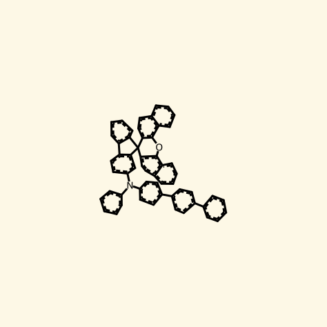 c1ccc(-c2ccc(-c3ccc(N(c4ccccc4)c4ccc5c(c4)C4(c6ccccc6-5)c5ccc6ccccc6c5Oc5c4ccc4ccccc54)cc3)cc2)cc1